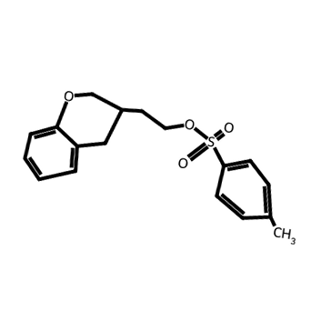 Cc1ccc(S(=O)(=O)OCCC2COc3ccccc3C2)cc1